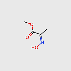 COC(=O)/C(C)=N\O